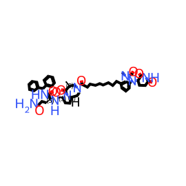 C[C@H]1CN(C(=O)CCCCCCCCc2cccc3c2n(C)c(=O)n3C2CCC(=O)NC2=O)CC[C@H]2CC[C@@H](C(=O)N[C@@H](CCC(N)=O)C(=O)NC(c3ccccc3)c3ccccc3)N2C1=O